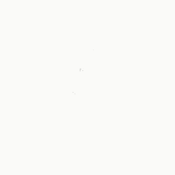 BrC1CCc2c([nH]c3ccccc23)N1